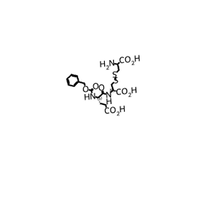 NC(CSSC[C@H](NC(=O)[C@H](CCC(=O)O)NC(=O)OCc1ccccc1)C(=O)O)C(=O)O